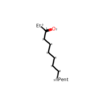 [CH2]CC(=O)CCCCCCCCCCC